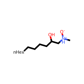 CCCCCCCCCCC(O)C[NH+](C)[O-]